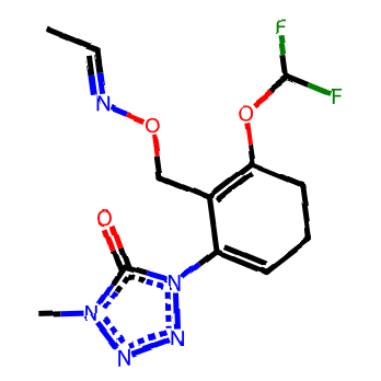 C/C=N/OCC1=C(OC(F)F)CCC=C1n1nnn(C)c1=O